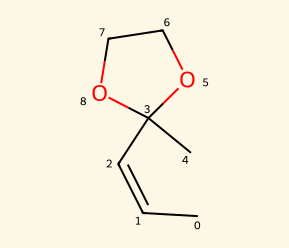 C/C=C\C1(C)OCCO1